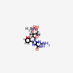 B[PH]1(O)OC[C@H]2O[C@@H](n3c(-c4ccccc4)nc4c(=O)[nH]c(N)nc43)C(O)[C@@H]2O1